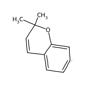 CC1(C)C=Cc2cc[c]cc2O1